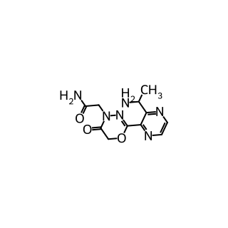 CC(N)c1nccnc1C1=NN(CC(N)=O)C(=O)CO1